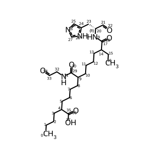 CCCCC(CCCCC(CCCCC(CC)C(=O)N[C@@H](C=O)Cc1cnc[nH]1)C(=O)NCC=O)C(=O)O